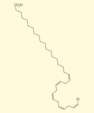 CC/C=C\C/C=C\C/C=C\C/C=C\C/C=C\CCCCCCCCCCCCCCCCCC(=O)OCC